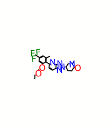 CCOCOc1cc(C(F)(F)F)cc(C)c1-c1ccc2nn([C@@H]3CCC(=O)N(C)C3)nc2n1